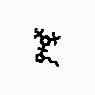 CCCCC1=C([Si](C)(C)c2cc(C(F)(F)F)cc(C(F)(F)F)c2)CC=C1